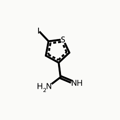 N=C(N)c1csc(I)c1